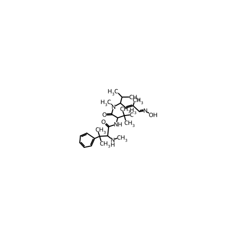 CNC(C(=O)NC(C(=O)N(C)C(/C=C(C)/C=N/O)C(C)C)C(C)(C)C)C(C)(C)c1ccccc1